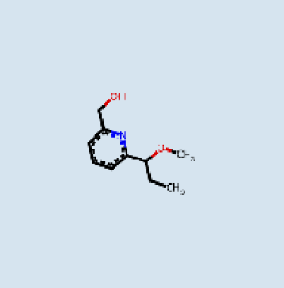 CCC(OC)c1cccc(CO)n1